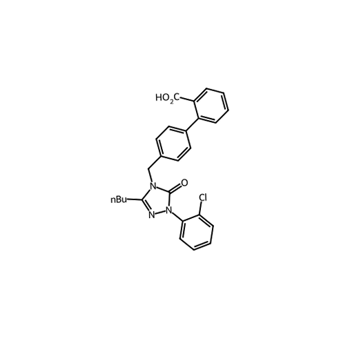 CCCCc1nn(-c2ccccc2Cl)c(=O)n1Cc1ccc(-c2ccccc2C(=O)O)cc1